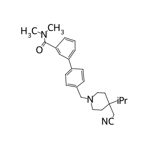 CC(C)C1(CC#N)CCN(Cc2ccc(-c3cccc(C(=O)N(C)C)c3)cc2)CC1